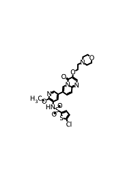 COc1ncc(-c2ccc3ncc(OCCN4CCOCC4)c(=O)n3c2)cc1NS(=O)(=O)c1ccc(Cl)s1